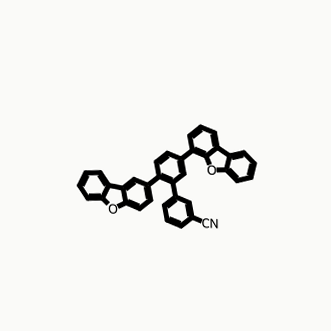 N#Cc1cccc(-c2cc(-c3cccc4c3oc3ccccc34)ccc2-c2ccc3oc4ccccc4c3c2)c1